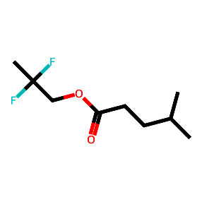 CC(C)CCC(=O)OCC(C)(F)F